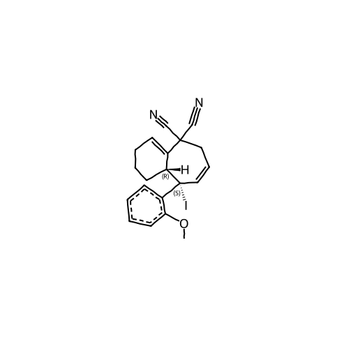 COc1ccccc1[C@]1(I)C=CCC(C#N)(C#N)C2=CCCC[C@H]21